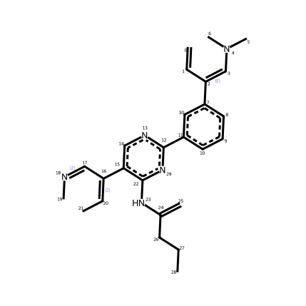 C=C/C(=C\N(C)C)c1cccc(-c2ncc(C(/C=N\C)=C/C)c(NC(=C)CCC)n2)c1